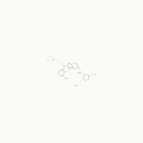 Cc1ccc(CCO)c(NCc2ccc3nc(NCCCN4CCOCC4)n(Cc4ncccc4O)c3c2)c1